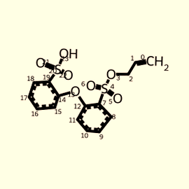 C=CCOS(=O)(=O)c1ccccc1Oc1ccccc1S(=O)(=O)O